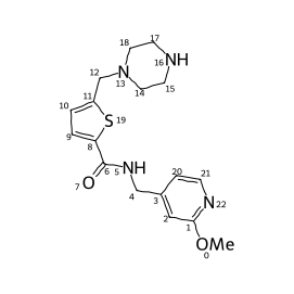 COc1cc(CNC(=O)c2ccc(CN3CCNCC3)s2)ccn1